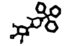 CC1CN(C(c2ccccc2)(c2ccccc2)c2ccccc2)CCN1c1cc(I)c(Cl)c(F)n1